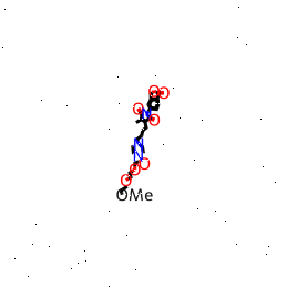 COCCOCCOCC(=O)N1CCN(CCCCC2=C(C)C(=O)N(c3ccc4c(c3)COC4=O)C2=O)CC1